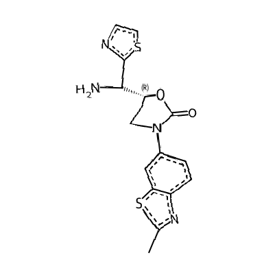 Cc1nc2ccc(N3C[C@H](C(N)c4nccs4)OC3=O)cc2s1